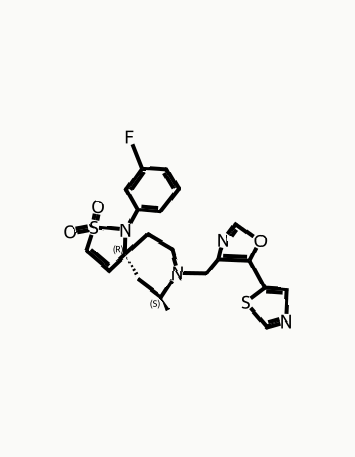 C[C@H]1C[C@@]2(C=CS(=O)(=O)N2c2cccc(F)c2)CCN1Cc1ncoc1-c1cncs1